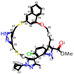 COC(=O)c1c2c3ccc(Cl)c(c3n1C)-c1c(C)nn(C34CC(C3)C4)c1CSCc1cc([nH]n1)CSc1cc(c3ccccc3c1)OCCC2